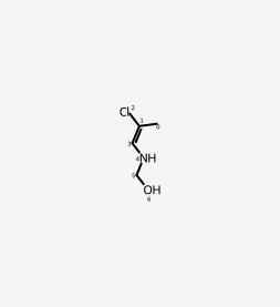 C/C(Cl)=C\NCO